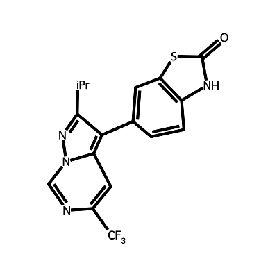 CC(C)c1nn2cnc(C(F)(F)F)cc2c1-c1ccc2[nH]c(=O)sc2c1